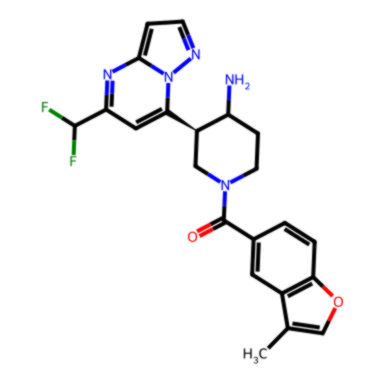 Cc1coc2ccc(C(=O)N3CCC(N)[C@H](c4cc(C(F)F)nc5ccnn45)C3)cc12